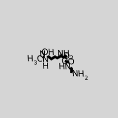 CC(=NO)NCCCC[C@H](N)C(=O)OC(=O)NCCN